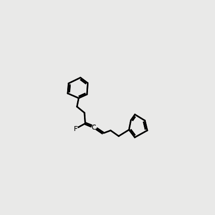 FC(=C=CCCc1ccccc1)CCc1ccccc1